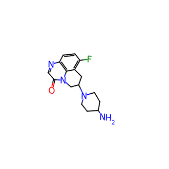 NC1CCN(C2Cc3c(F)ccc4ncc(=O)n(c34)C2)CC1